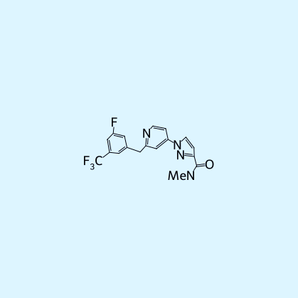 CNC(=O)c1ccn(-c2ccnc(Cc3cc(F)cc(C(F)(F)F)c3)c2)n1